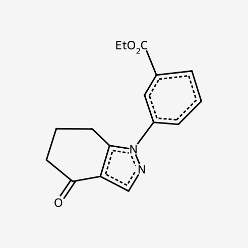 CCOC(=O)c1cccc(-n2ncc3c2CCCC3=O)c1